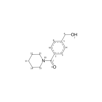 O=C(c1ccc(CO)cc1)N1CCCCC1